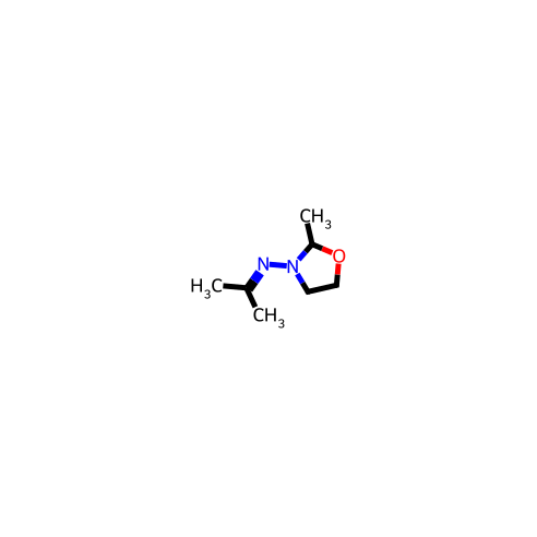 CC(C)=NN1CCOC1C